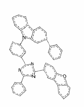 c1ccc(-c2ccc3c4ccccc4n(-c4cccc(-c5nc(-c6ccccc6)nc(-c6ccc7oc8ccccc8c7c6)n5)c4)c3c2)cc1